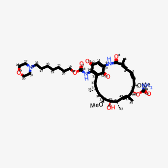 CO[C@H]1/C=C\C=C(/C)C(=O)NC2=CC(=O)C(NC(=O)OCCCCCCCN3CCOCC3)=C(C[C@@H](C)C[C@H](OC)[C@H](O)[C@@H](C)/C=C(\C)[C@@H]1OC(N)=O)C2=O